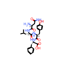 CC(C)C[C@H](NC(=O)[C@@H](N)CC(N)=O)C(=O)N[C@@H](Cc1ccc(O)cc1)C(=O)N[C@@H](Cc1ccccc1)C(=O)O